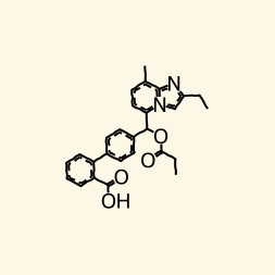 CCC(=O)OC(c1ccc(-c2ccccc2C(=O)O)cc1)c1ccc(C)c2nc(CC)cn12